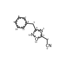 N#CCc1nc(Cc2ccccc2)no1